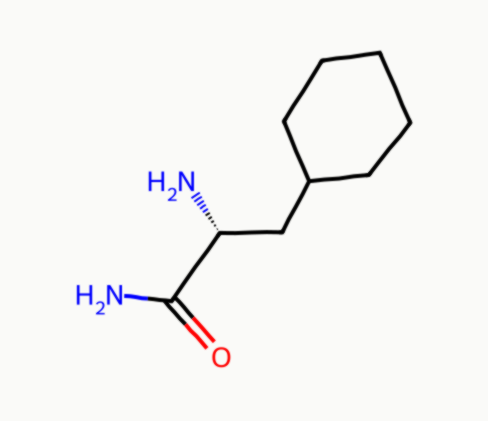 NC(=O)[C@H](N)CC1CCCCC1